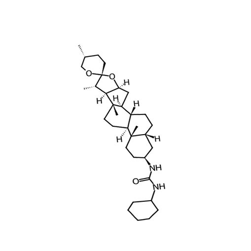 C[C@@H]1CC[C@@]2(OC1)O[C@H]1C[C@H]3[C@@H]4CC[C@@H]5C[C@@H](NC(=O)NC6CCCCC6)CC[C@]5(C)[C@H]4CC[C@]3(C)[C@H]1[C@@H]2C